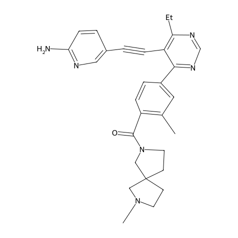 CCc1ncnc(-c2ccc(C(=O)N3CCC4(CCN(C)C4)C3)c(C)c2)c1C#Cc1ccc(N)nc1